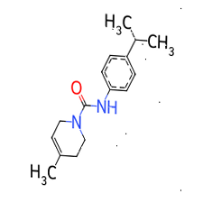 CC1=CCN(C(=O)Nc2ccc(C(C)C)cc2)CC1